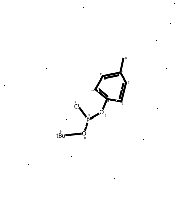 Cc1ccc(OP(Cl)OC(C)(C)C)cc1